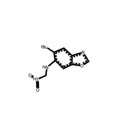 CC(C)(C)c1cc2ncoc2cc1NC[SH](=O)=O